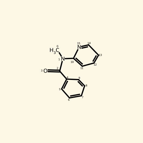 CN(C(=O)c1ccccc1)c1ccccn1